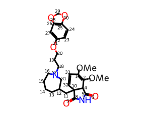 COC1=C(OC)C2C(=O)NC(=O)C2(CC2CCCCN(CCCOc3ccc4c(c3)OCO4)C2)C=C1